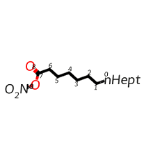 CCCCCCCCCCCCCC(=O)O[N+](=O)[O-]